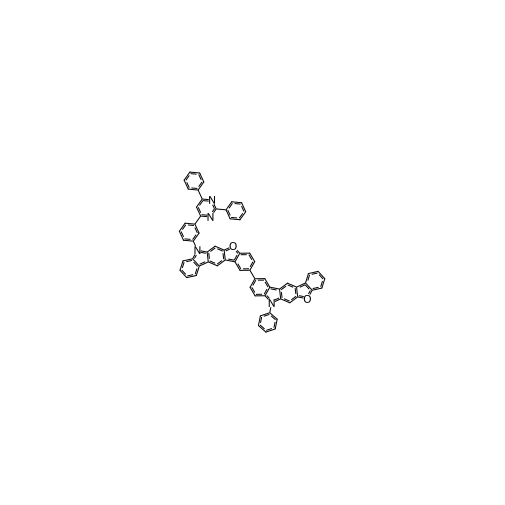 c1ccc(-c2cc(-c3cccc(-n4c5ccccc5c5cc6c(cc54)oc4ccc(-c5ccc7c(c5)c5cc8c(cc5n7-c5ccccc5)oc5ccccc58)cc46)c3)nc(-c3ccccc3)n2)cc1